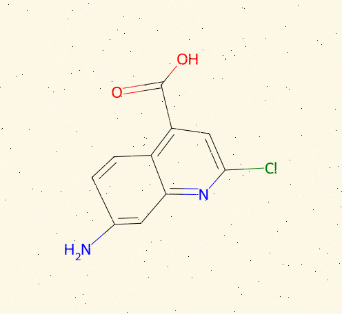 Nc1ccc2c(C(=O)O)cc(Cl)nc2c1